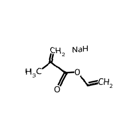 C=COC(=O)C(=C)C.[NaH]